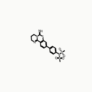 CS(=O)(=O)N(c1ccc(-c2ccc3c(c2)SC(=N)N2CCCN=C32)cc1)S(C)(=O)=O